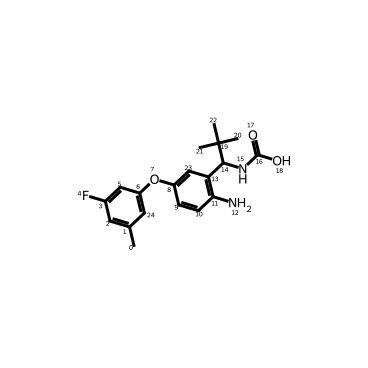 Cc1cc(F)cc(Oc2ccc(N)c(C(NC(=O)O)C(C)(C)C)c2)c1